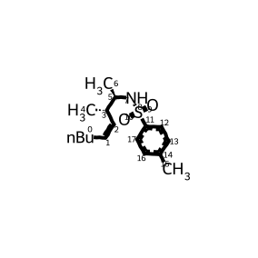 CCCC/C=C\[C@H](C)[C@@H](C)NS(=O)(=O)c1ccc(C)cc1